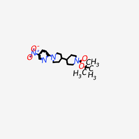 CC(C)(C)OC(=O)N1CCC(C2CCN(c3ccc([N+](=O)[O-])cn3)CC2)CC1